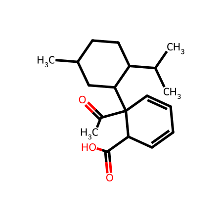 CC(=O)C1(C2CC(C)CCC2C(C)C)C=CC=CC1C(=O)O